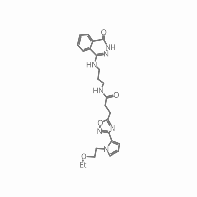 CCOCCn1cccc1-c1noc(CCC(=O)NCCCNc2n[nH]c(=O)c3ccccc23)n1